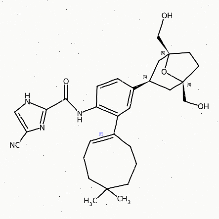 CC1(C)CC/C=C(/c2cc([C@H]3C[C@]4(CO)CC[C@](CO)(C3)O4)ccc2NC(=O)c2nc(C#N)c[nH]2)CCC1